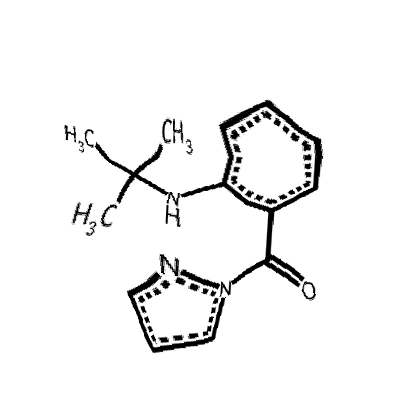 CC(C)(C)Nc1ccccc1C(=O)n1cccn1